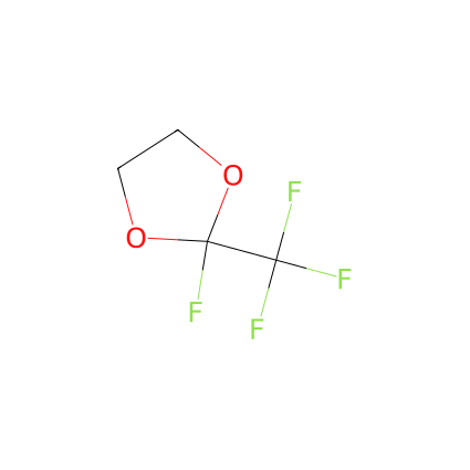 FC(F)(F)C1(F)OCCO1